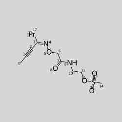 CC#C/C(=N\OCC(=O)NCCOS(C)(=O)=O)C(C)C